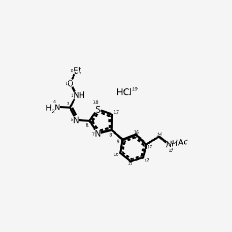 CCONC(N)=Nc1nc(-c2cccc(CNC(C)=O)c2)cs1.Cl